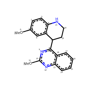 COc1ccc2c(c1)C(c1nc(OC)nc3ccccc13)CCN2